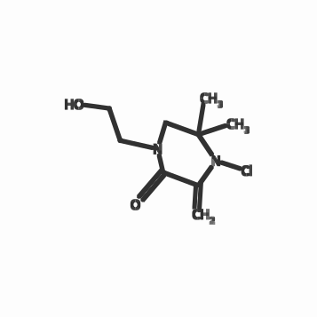 C=C1C(=O)N(CCO)CC(C)(C)N1Cl